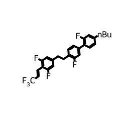 CCCCc1ccc(-c2ccc(CCc3cc(F)c(/C=C/C(F)(F)F)c(F)c3)c(F)c2)c(F)c1